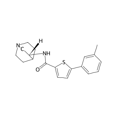 Cc1cccc(-c2ccc(C(=O)N[C@H]3CN4CCC3CC4)s2)c1